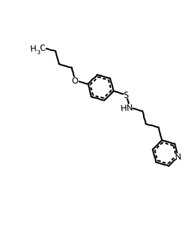 CCCCOc1ccc(SNCCCc2cccnc2)cc1